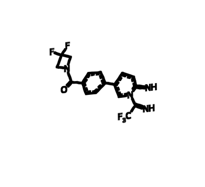 N=C(n1cc(-c2ccc(C(=O)N3CC(F)(F)C3)cc2)ccc1=N)C(F)(F)F